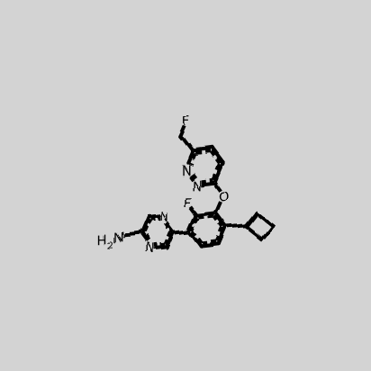 Nc1cnc(-c2ccc(C3CCC3)c(Oc3ccc(CF)nn3)c2F)cn1